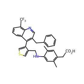 Cc1cc(NCc2cscc2-c2c(Cc3ccccc3)cnc3c(C(F)(F)F)cccc23)c(C)cc1CC(=O)O